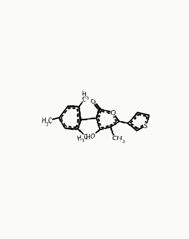 Cc1cc(C)c(-c2c(O)c(C)c(-c3ccsc3)oc2=O)c(C)c1